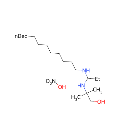 CCCCCCCCCCCCCCCCCCNC(CC)NC(C)(C)CO.O=[N+]([O-])O